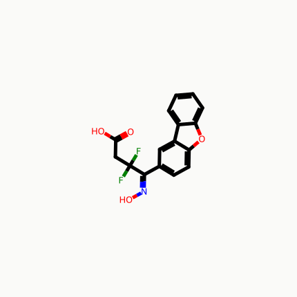 O=C(O)CC(F)(F)C(=NO)c1ccc2oc3ccccc3c2c1